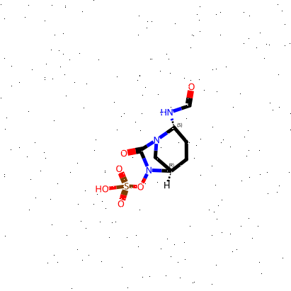 O=CN[C@@H]1CC[C@@H]2CN1C(=O)N2OS(=O)(=O)O